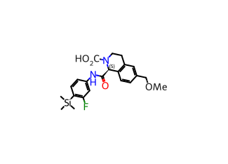 COCc1ccc2c(c1)CCN(C(=O)O)[C@@H]2C(=O)Nc1ccc([Si](C)(C)C)c(F)c1